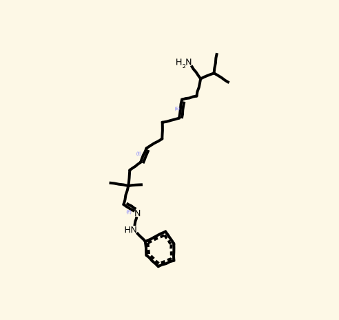 CC(C)C(N)C/C=C/CC/C=C/CC(C)(C)/C=N/Nc1ccccc1